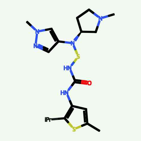 Cc1cc(NC(=O)NSN(c2cnn(C)c2)[C@H]2CCN(C)C2)c(C(C)C)s1